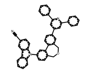 N#Cc1ccc2c(c1)c1ccccc1n2-c1ccc2c(c1)-c1ccc(-c3cc(-c4ccccc4)nc(-c4ccccc4)c3)cc1COC2